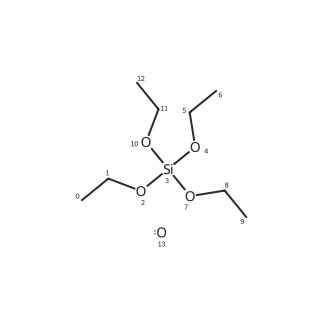 CCO[Si](OCC)(OCC)OCC.[O]